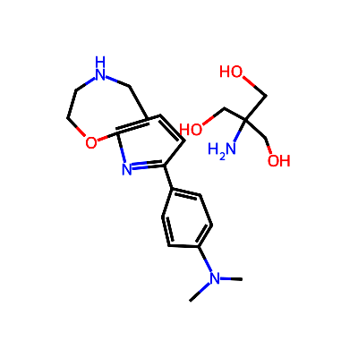 CN(C)c1ccc(-c2ccc3c(n2)OCCNC3)cc1.NC(CO)(CO)CO